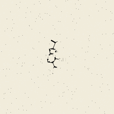 C=C(C)c1cc2ncc(C(=O)OC)c(N)n2n1